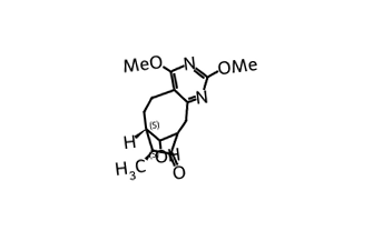 COc1nc2c(c(OC)n1)CC[C@@H]1C(O)C(C2)C(=O)[C@H]1C